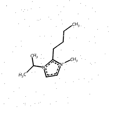 CCCCc1n(C(C)C)cc[n+]1C